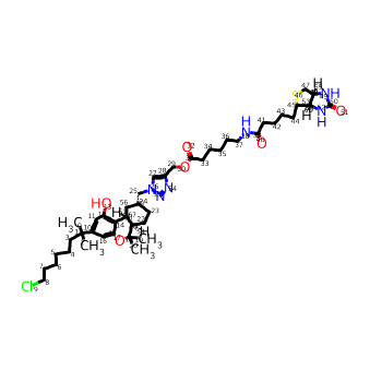 CC(C)(CCCCCCCl)c1cc(O)c2c(c1)OC(C)(C)[C@@H]1CC[C@@H](Cn3cc(COC(=O)CCCCCNC(=O)CCCCC4SC[C@@H]5NC(=O)N[C@H]45)nn3)C[C@@H]21